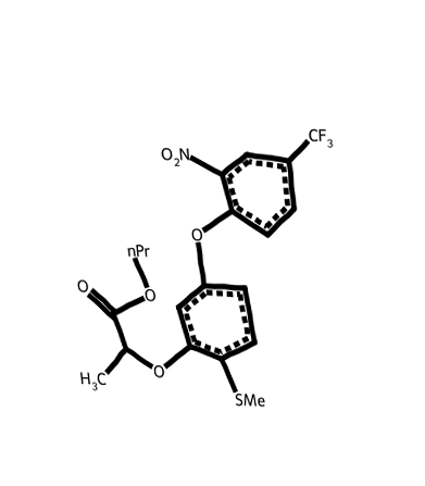 CCCOC(=O)C(C)Oc1cc(Oc2ccc(C(F)(F)F)cc2[N+](=O)[O-])ccc1SC